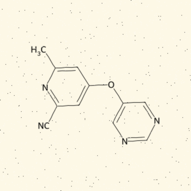 Cc1cc(Oc2cncnc2)cc(C#N)n1